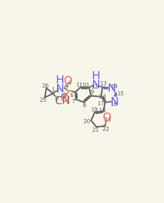 N#CC1(NS(=O)(=O)c2ccc3c(c2)[nH]c2ncnc(C4=CCCCO4)c23)CC1